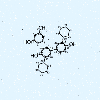 Cc1cccc(O)c1.Oc1ccc(-c2ccc(O)c(C3CCCCC3)c2)cc1C1CCCCC1